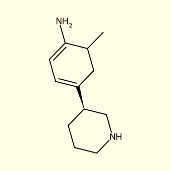 CC1CC([C@@H]2CCCNC2)=CC=C1N